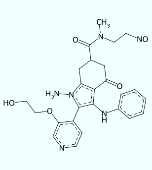 CN(CCN=O)C(=O)C1CC(=O)c2c(Nc3ccccc3)c(-c3ccncc3OCCO)n(N)c2C1